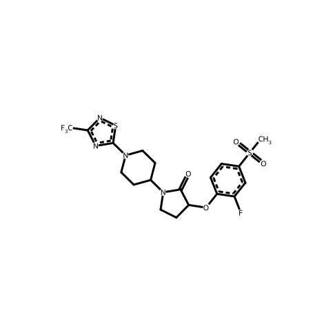 CS(=O)(=O)c1ccc(OC2CCN(C3CCN(c4nc(C(F)(F)F)ns4)CC3)C2=O)c(F)c1